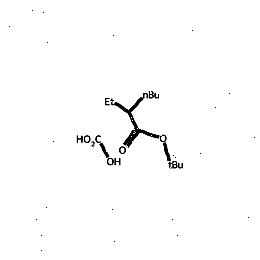 CCCCC(CC)C(=O)OC(C)(C)C.O=C(O)O